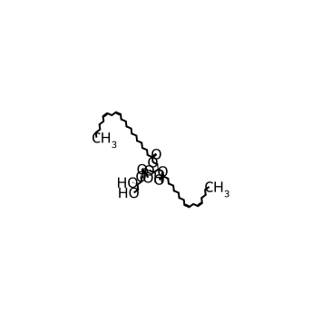 CCCC/C=C\C/C=C\CCCCCCCC(=O)O[C@H](COC(=O)CCCCCCCCCCC/C=C\C/C=C\CCCCC)COP(=O)(O)OC[C@@H](O)CO